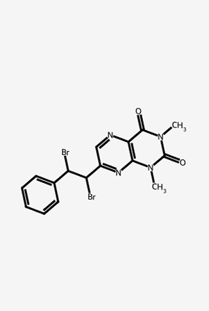 Cn1c(=O)c2ncc(C(Br)C(Br)c3ccccc3)nc2n(C)c1=O